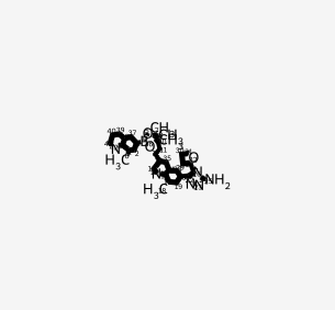 Cc1cc(B2OC(C)(C)C(C)(CCc3cnc4c(C)cc(-c5nnc(N)nc5-c5ccco5)cc4c3)O2)cc2cccnc12